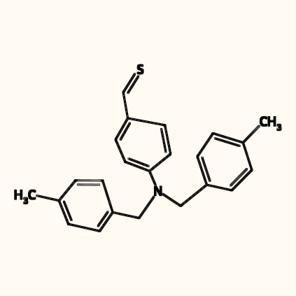 Cc1ccc(CN(Cc2ccc(C)cc2)c2ccc(C=S)cc2)cc1